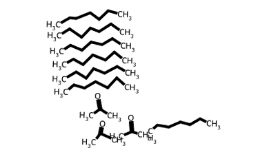 CC(C)=O.CC(C)=O.CC(C)=O.CCCCCCC.CCCCCCC.CCCCCCC.CCCCCCC.CCCCCCC.CCCCCCC.CCCCCCC